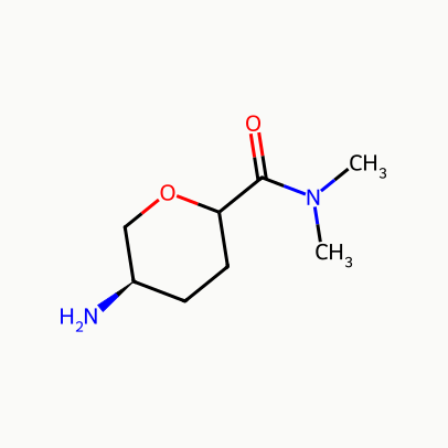 CN(C)C(=O)C1CC[C@@H](N)CO1